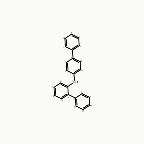 c1ccc(-c2ccc(Nc3ccccc3-c3ccccc3)cc2)cc1